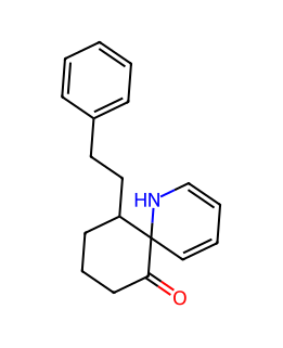 O=C1CCCC(CCc2ccccc2)C12C=CC=CN2